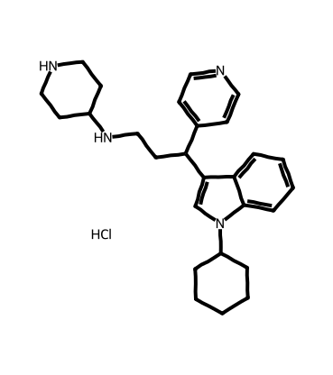 Cl.c1ccc2c(c1)c(C(CCNC1CCNCC1)c1ccncc1)cn2C1CCCCC1